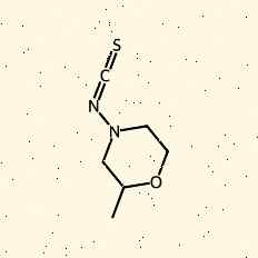 CC1CN(N=C=S)CCO1